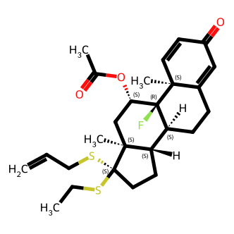 C=CCS[C@@]1(SCC)CC[C@H]2[C@@H]3CCC4=CC(=O)C=C[C@]4(C)[C@@]3(F)[C@@H](OC(C)=O)C[C@@]21C